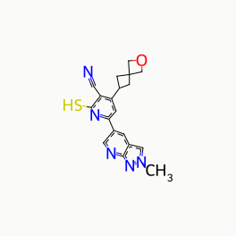 Cn1cc2cc(-c3cc(C4CC5(COC5)C4)c(C#N)c(S)n3)cnc2n1